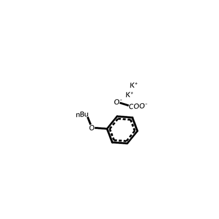 CCCCOc1ccccc1.O=C([O-])[O-].[K+].[K+]